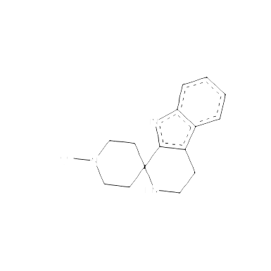 CCOC(=O)N1CCC2(CC1)NCCc1c2[nH]c2ccccc12